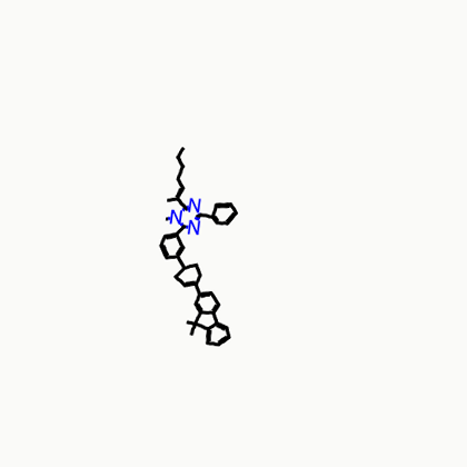 CCCC/C=C(\C)C1=NC(c2ccccc2)=NC(c2cccc(C3CC=C(c4ccc5c(c4)C(C)(C)c4ccccc4-5)CC3)c2)N1C